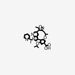 Cc1onc2c1-c1cnc3c(c1)c(cn3[C@@H](C)c1ccccn1)-c1c(OC(C)C)cc(C(=O)O)cc1OC(C)C2